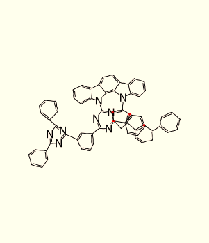 C1=C(c2cccc(-c3ccccc3)c2)CCC=C1n1c2ccccc2c2ccc3c4ccccc4n(-c4nc(-c5ccccc5)nc(-c5cccc(-c6nc(-c7ccccc7)nc(-c7ccccc7)n6)c5)n4)c3c21